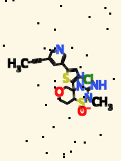 CC#Cc1cncc(-c2cc(Cl)c(C34COCCC3[S+]([O-])N(C)C(=N)N4)s2)c1